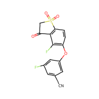 N#Cc1cc(F)cc(Oc2ccc3c(c2F)C(=O)CS3(=O)=O)c1